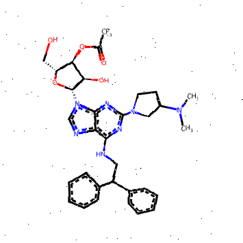 CN(C)C1CCN(c2nc(NCC(c3ccccc3)c3ccccc3)c3ncn([C@@H]4O[C@H](CO)[C@@H](OC(=O)C(F)(F)F)[C@H]4O)c3n2)C1